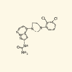 NC(=O)Nc1cc2c(N3CCN(c4cccc(Cl)c4Cl)CC3)ccnn2n1